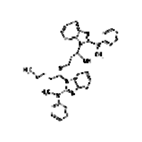 CSCCC(SCCC(O)n1c(N(C)c2ccccc2)nc2ccccc21)n1c(N(C)c2ccccc2)nc2ccccc21